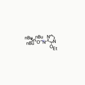 CCC[CH2][Sn]([CH2]CCC)([CH2]CCC)[O]/C=N/c1nccnc1OCC